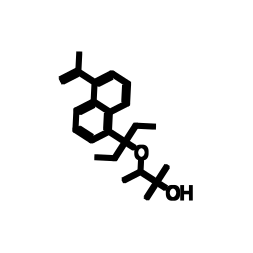 C=C(C)c1cccc2c(C(CC)(CC)OC(C)C(C)(C)O)cccc12